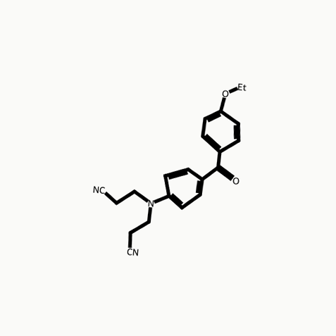 CCOc1ccc(C(=O)c2ccc(N(CCC#N)CCC#N)cc2)cc1